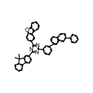 CC1(C)c2ccccc2-c2ccc(-c3nc(-c4cccc(-c5ccc6ccc(-c7ccccc7)cc6c5)c4)nc(-c4ccc5oc6ccccc6c5c4)n3)cc21